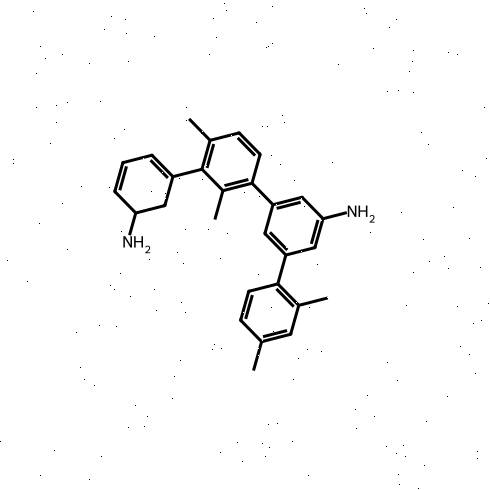 Cc1ccc(-c2cc(N)cc(-c3ccc(C)c(C4=CC=CC(N)C4)c3C)c2)c(C)c1